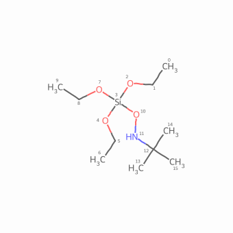 CCO[Si](OCC)(OCC)ONC(C)(C)C